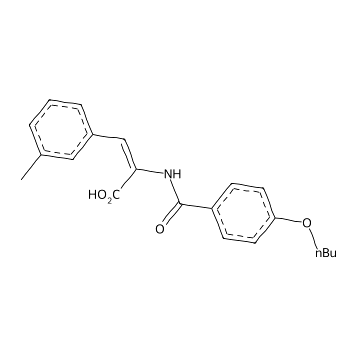 CCCCOc1ccc(C(=O)N/C(=C/c2cccc(C)c2)C(=O)O)cc1